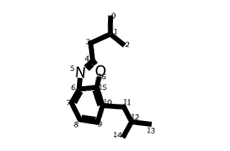 CC(C)Cc1nc2cccc(CC(C)C)c2o1